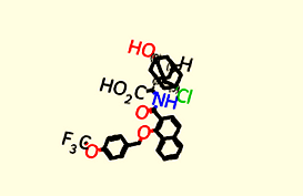 O=C(NC(C(=O)O)[C@]12C[C@H]3C[C@](O)(C[C@](Cl)(C3)C1)C2)c1ccc2ccccc2c1OCc1ccc(OC(F)(F)F)cc1